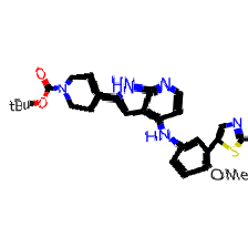 COc1ccc(Nc2ccnc3[nH]c(C4=CCN(C(=O)OC(C)(C)C)CC4)cc23)cc1-c1cncs1